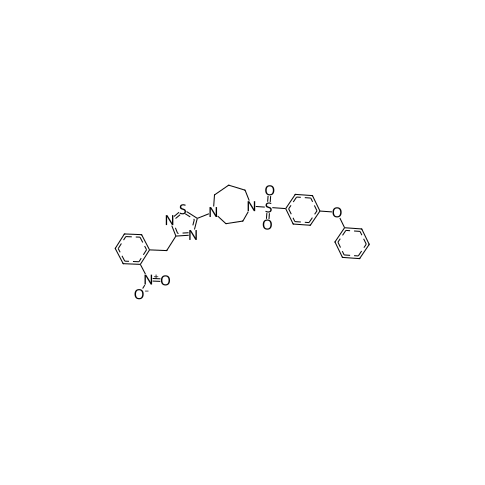 O=[N+]([O-])c1ccccc1Cc1nsc(N2CCCN(S(=O)(=O)c3ccc(Oc4ccccc4)cc3)CC2)n1